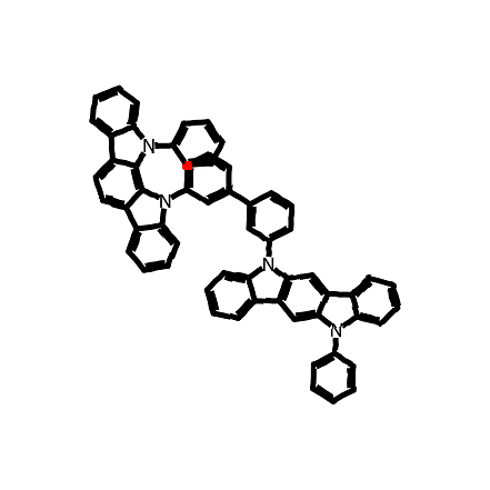 c1ccc(-n2c3ccccc3c3cc4c(cc32)c2ccccc2n4-c2cccc(-c3cccc(-n4c5ccccc5c5ccc6c7ccccc7n(-c7ccccc7)c6c54)c3)c2)cc1